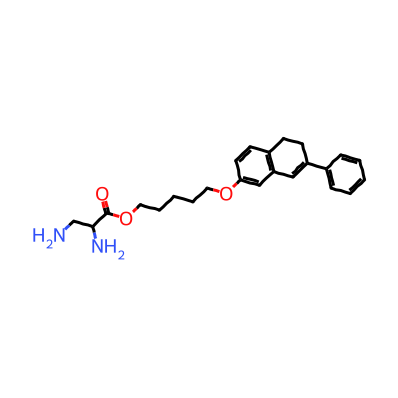 NCC(N)C(=O)OCCCCCOc1ccc2c(c1)C=C(c1ccccc1)CC2